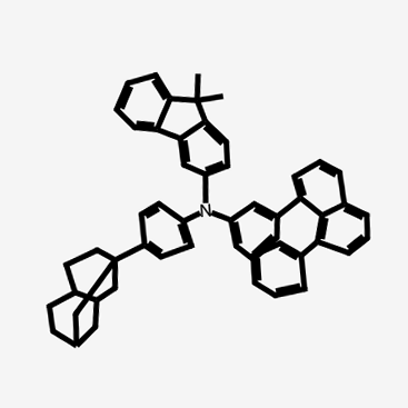 CC1(C)c2ccccc2-c2cc(N(c3ccc(C45CCC6CCC(CC6C4)C5)cc3)c3cccc(-c4cccc5cccc(-c6ccccc6)c45)c3)ccc21